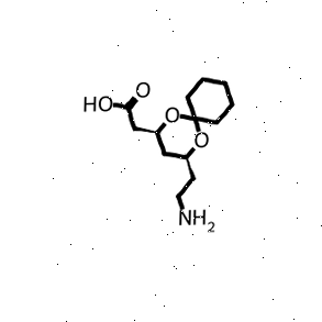 NCC[C@H]1C[C@@H](CC(=O)O)OC2(CCCCC2)O1